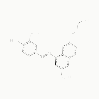 COc1cc(N=Nc2cc(S(=O)(=O)O)cc3ccc(SOOO)cc23)c(C)cc1C